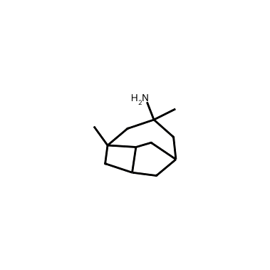 CC1(N)CC2CC3CC(C)(C1)C3C2